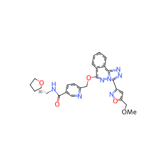 COCc1cc(-c2nnc3c4ccccc4c(OCc4ccc(C(=O)NC[C@@H]5CCCO5)cn4)nn23)no1